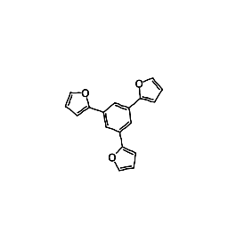 c1coc(-c2cc(-c3ccco3)cc(-c3ccco3)c2)c1